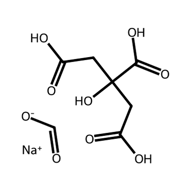 O=C(O)CC(O)(CC(=O)O)C(=O)O.O=C[O-].[Na+]